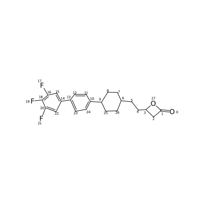 O=C1CC(CCC2CCC(c3ccc(-c4cc(F)c(F)c(F)c4)cc3)CC2)O1